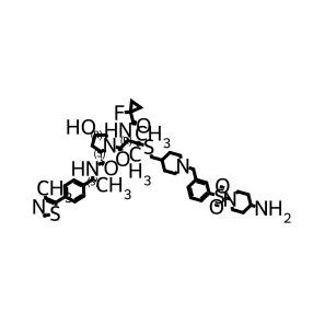 Cc1ncsc1-c1ccc([C@H](C)NC(=O)[C@@H]2C[C@@H](O)CN2C(=O)[C@@H](NC(=O)C2(F)CC2)C(C)(C)SCC2CCN(Cc3cccc(S(=O)(=O)N4CCC(N)CC4)c3)CC2)cc1